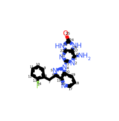 Nc1nc(-n2nc(Cc3ccccc3F)c3ncccc32)nc2[nH]c(=O)[nH]c12